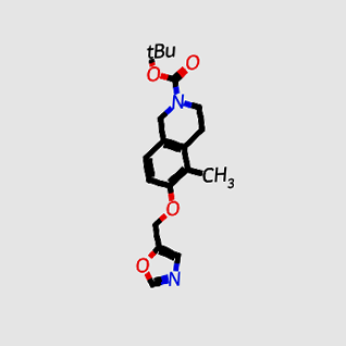 Cc1c(OCc2cnco2)ccc2c1CCN(C(=O)OC(C)(C)C)C2